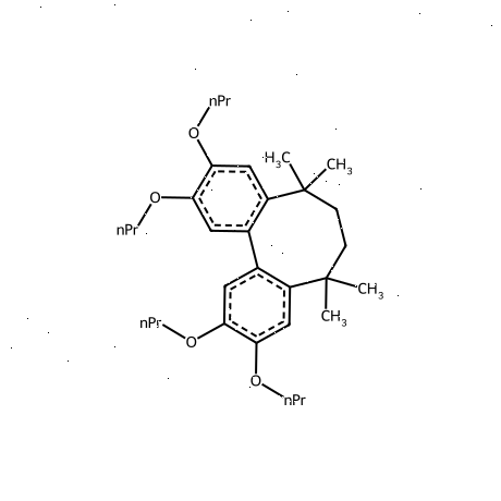 CCCOc1cc2c(cc1OCCC)C(C)(C)CCC(C)(C)c1cc(OCCC)c(OCCC)cc1-2